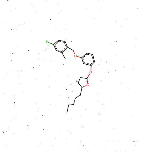 CCCCCC1OC(Oc2cccc(OCc3ccc(F)cc3C)c2)C[C@H]1C